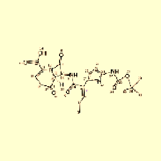 CC/C=C(\C(=O)N[C@@H]1C(=O)N2C(C(=O)O)=CC[S+]([O-])[C@H]12)c1csc(NC(=O)OC(C)(C)C)n1